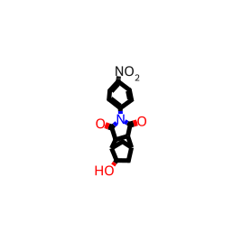 O=C1C2C3CC(O)C(C3)C2C(=O)N1c1ccc([N+](=O)[O-])cc1